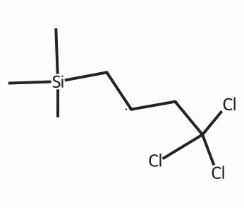 C[Si](C)(C)C[CH]CC(Cl)(Cl)Cl